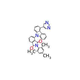 Cc1cc(C)c(N2C(=O)c3cccc(-n4c5ccccc5c5c(-c6cncnc6)cccc54)c3C2=O)c(C)c1